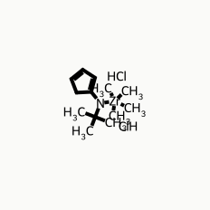 CC(C)(C)[N](C1=CC=CC1)[Zr]([CH3])([CH3])([CH3])[CH3].Cl.Cl